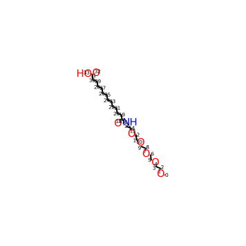 COCCOCCOCCOCCOCCNC(=O)CCCCCCCCCCCCC(=O)O